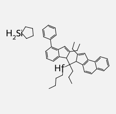 C1CC[SiH2]C1.CCC[CH2][Hf][C](CCC)(C1C(CC)=Cc2c(-c3ccccc3)cccc21)C1C(CC)=Cc2c1ccc1ccccc21